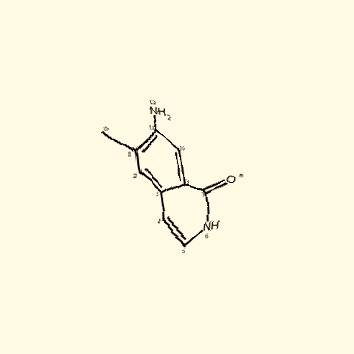 Cc1cc2cc[nH]c(=O)c2cc1N